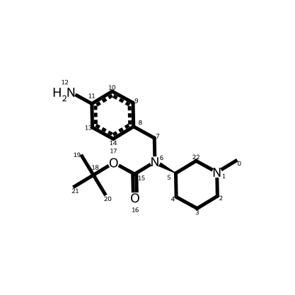 CN1CCC[C@@H](N(Cc2ccc(N)cc2)C(=O)OC(C)(C)C)C1